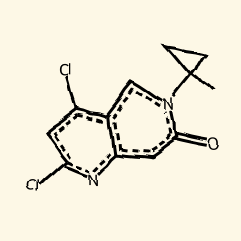 CC1(n2cc3c(Cl)cc(Cl)nc3cc2=O)CC1